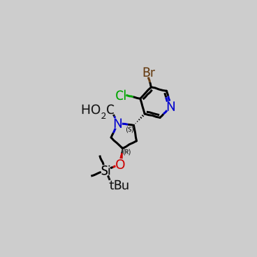 CC(C)(C)[Si](C)(C)O[C@@H]1C[C@@H](c2cncc(Br)c2Cl)N(C(=O)O)C1